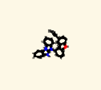 C#Cc1ccc2oc3cccc(-n4c5ccccc5n5c6ccccc6nc45)c3c2c1